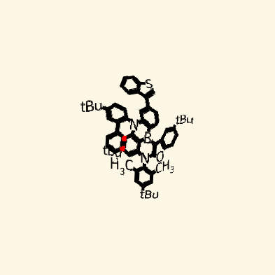 Cc1cc(C(C)(C)C)cc(C)c1N1c2cc(C(C)(C)C)cc3c2B(c2ccc(-c4csc5ccccc45)cc2N3c2ccc(C(C)(C)C)cc2-c2ccccc2)c2c1oc1ccc(C(C)(C)C)cc21